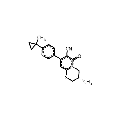 C[C@@H]1CSc2cc(-c3ccc(C4(C)CC4)nc3)c(C#N)c(=O)n2C1